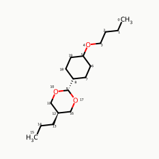 CCCCOC1CCC([C@H]2OC[C@H](CCC)CO2)CC1